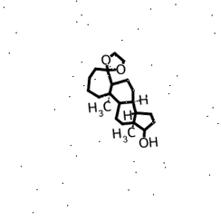 C[C@]12CCCCC3(OCCO3)C1CC[C@@H]1C2CC[C@]2(C)C(O)CC[C@@H]12